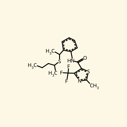 CCCC(C)SC(C)c1ccccc1NC(=O)c1sc(C)nc1C(F)(F)F